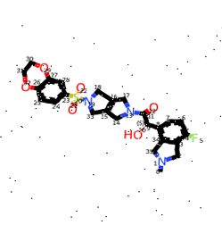 CN1Cc2c(F)ccc([C@H](O)C(=O)N3CC4=C(C3)CN(S(=O)(=O)c3ccc5c(c3)OCCO5)C4)c2C1